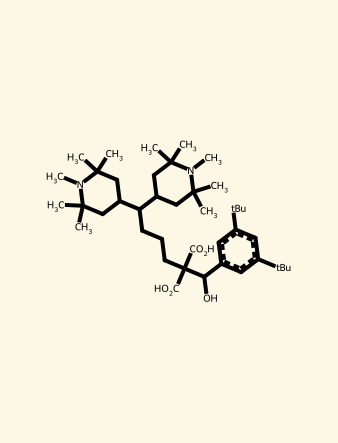 CN1C(C)(C)CC(C(CCCC(C(=O)O)(C(=O)O)C(O)c2cc(C(C)(C)C)cc(C(C)(C)C)c2)C2CC(C)(C)N(C)C(C)(C)C2)CC1(C)C